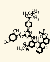 C[C@@H]1CC[C@@H](CO)CC[C@@H]1COc1nc(Nc2cc(S(C)(=O)=O)ccc2N[C@@H](c2cccc3c2OC(F)(F)O3)c2ncccc2Cl)nc(N2CCN(C(=O)OC(C)(C)C)CC2)n1